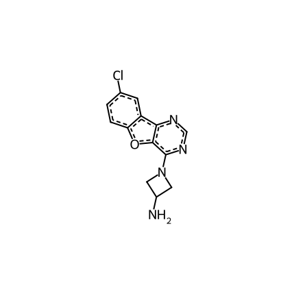 NC1CN(c2ncnc3c2oc2ccc(Cl)cc23)C1